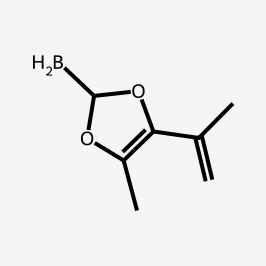 BC1OC(C)=C(C(=C)C)O1